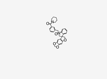 O=C(c1cccc(C[N+]2([O-])CC3(COc4cc5c(cc43)OCO5)c3ccccc32)c1)N1CCCCC1